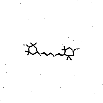 CCCN1CC(C)(C)C(C=COCC=COC2CC(C)(C)N(CCC)C(C)(C)C2)C(C)(C)C1